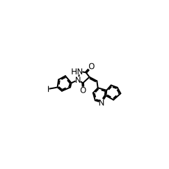 O=C1NN(c2ccc(I)cc2)C(=O)/C1=C\c1ccnc2ccccc12